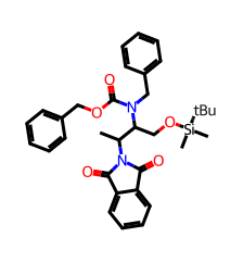 CC(C(CO[Si](C)(C)C(C)(C)C)N(Cc1ccccc1)C(=O)OCc1ccccc1)N1C(=O)c2ccccc2C1=O